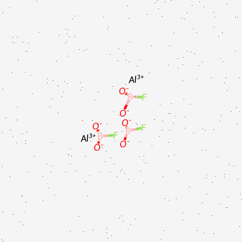 [Al+3].[Al+3].[O-]B([O-])F.[O-]B([O-])F.[O-]B([O-])F